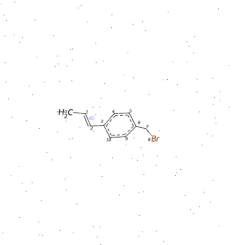 [CH2]/C=C/c1ccc(CBr)cc1